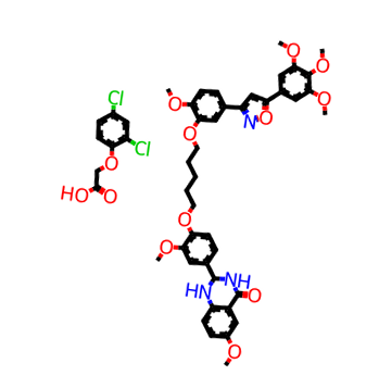 COc1ccc2c(c1)C(=O)NC(c1ccc(OCCCCCOc3cc(-c4cc(-c5cc(OC)c(OC)c(OC)c5)on4)ccc3OC)c(OC)c1)N2.O=C(O)COc1ccc(Cl)cc1Cl